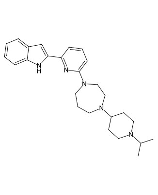 CC(C)N1CCC(N2CCCN(c3cccc(-c4cc5ccccc5[nH]4)n3)CC2)CC1